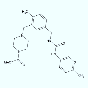 COC(=O)N1CCN(Cc2cc(CNC(=O)Nc3ccc(C)nc3)ccc2C)CC1